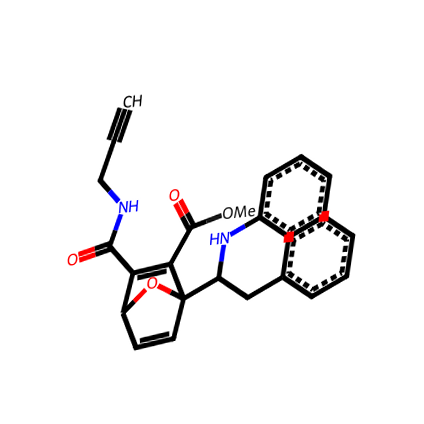 C#CCNC(=O)C1=C(C(=O)OC)C2(C(Cc3ccccc3)Nc3ccccc3)C=CC1O2